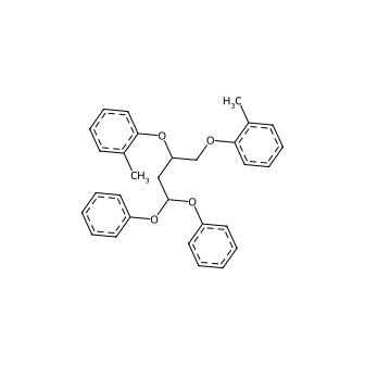 Cc1ccccc1OCC(CC(Oc1ccccc1)Oc1ccccc1)Oc1ccccc1C